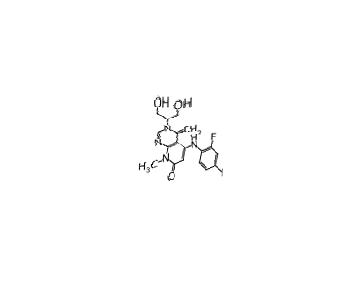 C=C1c2c(Nc3ccc(I)cc3F)cc(=O)n(C)c2N=CN1C(CO)CO